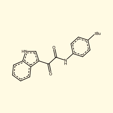 CC(C)(C)c1ccc(NC(=O)C(=O)c2c[nH]c3ccccc23)cc1